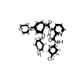 O=C(Nc1cccnc1C(=O)Nc1ccc(Cl)cn1)c1ccc(N2CCOCC2)cc1OC1CCNCC1